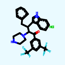 Cl.O=C(c1cc(C(F)(F)F)cc(C(F)(F)F)c1)C(C(Cc1ccccc1)c1c[nH]c2ccccc12)N1CCNCC1